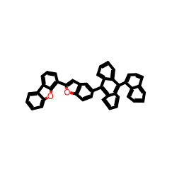 c1ccc2c(-c3c4ccccc4c(-c4ccc5oc(-c6cccc7c6oc6ccccc67)cc5c4)c4ccccc34)cccc2c1